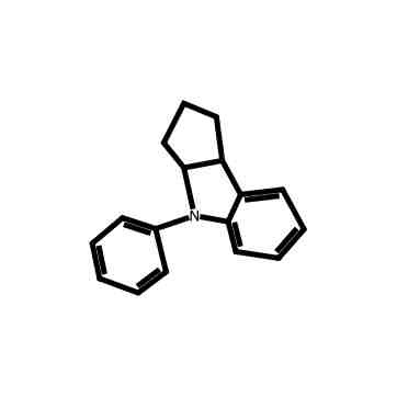 c1ccc(N2c3ccccc3C3CCCC32)cc1